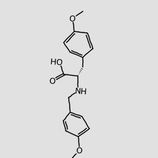 COc1ccc(CN[C@@H](Cc2ccc(OC)cc2)C(=O)O)cc1